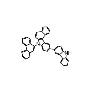 c1ccc2c(c1)cc(-n1c3ccc(-c4ccc5[nH]c6ccccc6c5c4)cc3c3c4ccccc4ccc31)c1ccccc12